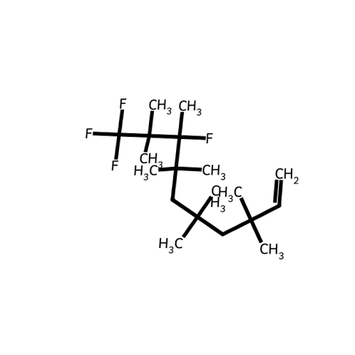 C=CC(C)(C)CC(C)(C)CC(C)(C)C(C)(F)C(C)(C)C(F)(F)F